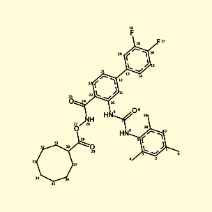 Cc1cc(C)c(NC(=O)Nc2cc(-c3ccc(F)c(F)c3)ccc2C(=O)NOC(=O)C2CCCCCCC2)c(C)c1